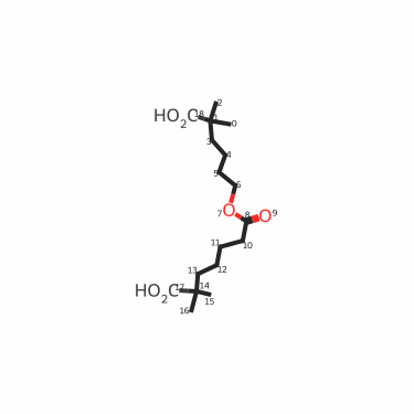 CC(C)(CCCCOC(=O)CCCCC(C)(C)C(=O)O)C(=O)O